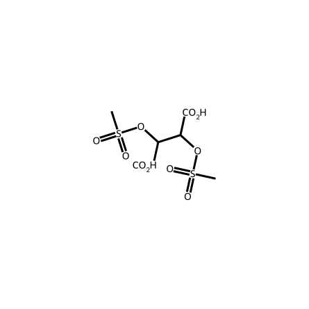 CS(=O)(=O)OC(C(=O)O)C(OS(C)(=O)=O)C(=O)O